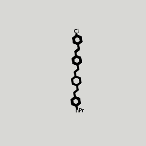 CCCc1ccc(CCC2CCC(CCc3ccc(C=Cc4ccc(Cl)cc4)cc3)CC2)cc1